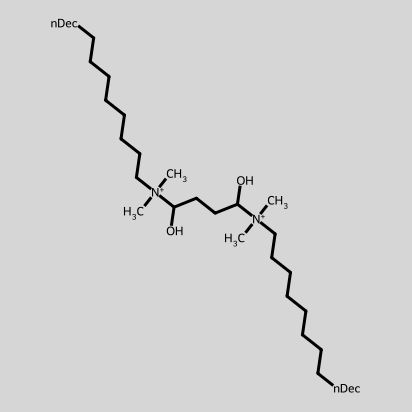 CCCCCCCCCCCCCCCCCC[N+](C)(C)C(O)CCC(O)[N+](C)(C)CCCCCCCCCCCCCCCCCC